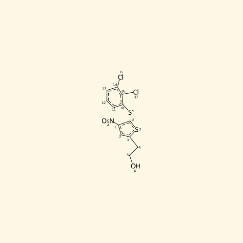 O=[N+]([O-])c1cc(CCO)sc1Sc1cccc(Cl)c1Cl